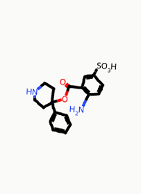 Nc1ccc(S(=O)(=O)O)cc1C(=O)OC1(c2ccccc2)CCNCC1